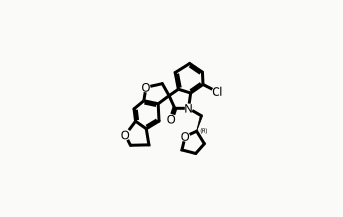 O=C1N(C[C@H]2CCCO2)c2c(Cl)cccc2C12COc1cc3c(cc12)CCO3